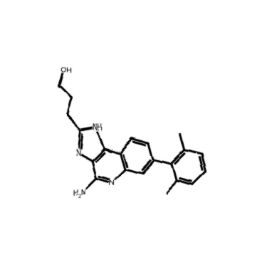 Cc1cccc(C)c1-c1ccc2c(c1)nc(N)c1nc(CCCO)[nH]c12